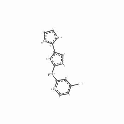 Fc1ccnc(Nc2nc(-c3nccs3)cs2)c1